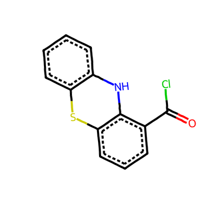 O=C(Cl)c1cccc2c1Nc1ccccc1S2